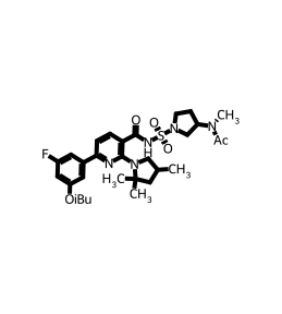 CC(=O)N(C)C1CCN(S(=O)(=O)NC(=O)c2ccc(-c3cc(F)cc(OCC(C)C)c3)nc2N2CC(C)CC2(C)C)C1